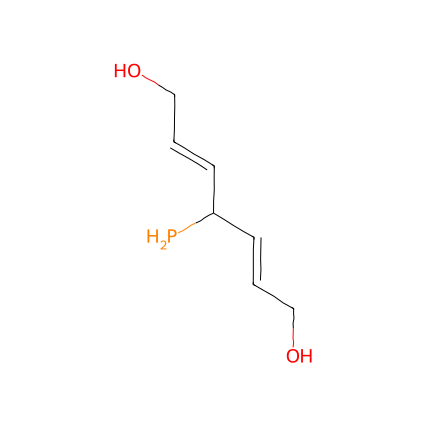 OCC=CC(P)C=CCO